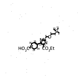 CCOC(=O)c1nn(COCC[Si](C)(C)C)nc1C1=CCN(C(=O)O)CC1